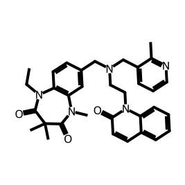 CCN1C(=O)C(C)(C)C(=O)N(C)c2cc(CN(CCn3c(=O)ccc4ccccc43)Cc3cccnc3C)ccc21